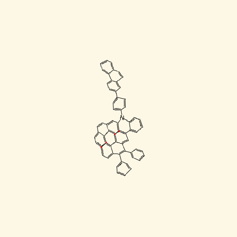 c1ccc(-c2c(-c3ccccc3)c3cc(-c4ccccc4N(c4ccc(-c5ccc6c(ccc7ccccc76)c5)cc4)c4ccc5c(ccc6ccccc65)c4)ccc3c3ccccc23)cc1